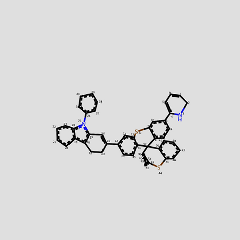 C1=CCNC(c2ccc3c(c2)Sc2cc(C4=Cc5c(c6ccccc6n5-c5ccccc5)CC4)ccc2C32c3ccccc3Sc3ccccc32)=C1